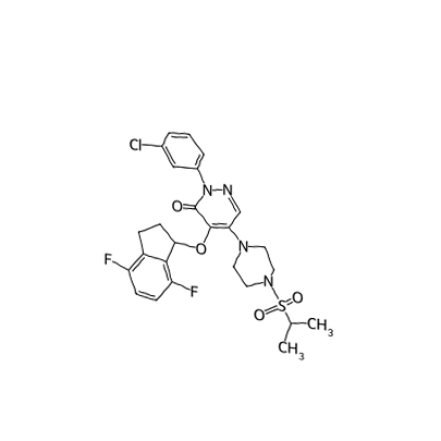 CC(C)S(=O)(=O)N1CCN(c2cnn(-c3cccc(Cl)c3)c(=O)c2OC2CCc3c(F)ccc(F)c32)CC1